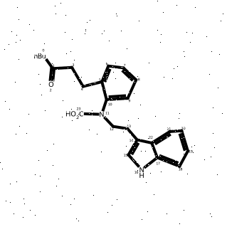 CCCCC(=O)CCc1ccccc1N(CCc1c[nH]c2ccccc12)C(=O)O